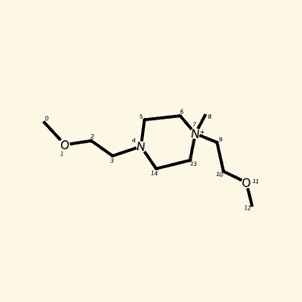 COCCN1CC[N+](C)(CCOC)CC1